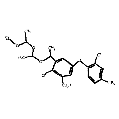 CCOC(C)OC(C)OC(C)c1cc(Oc2ccc(C(F)(F)F)cc2Cl)cc(C(=O)O)c1Cl